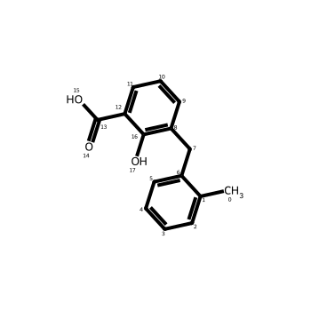 Cc1ccccc1Cc1cccc(C(=O)O)c1O